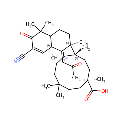 CC(=O)/C=C1/[C@@]2(C)C=C(C#N)C(=O)C(C)(C)C2CC[C@@]1(C)[C@@]1(C)CCCC(C)(C)CC[C@](C)(C(=O)O)CC1